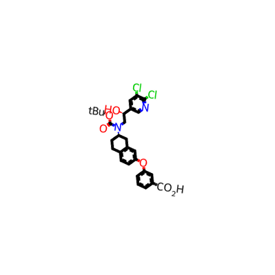 CC(C)(C)OC(=O)N(C[C@H](O)c1cnc(Cl)c(Cl)c1)[C@H]1CCc2ccc(Oc3cccc(C(=O)O)c3)cc2C1